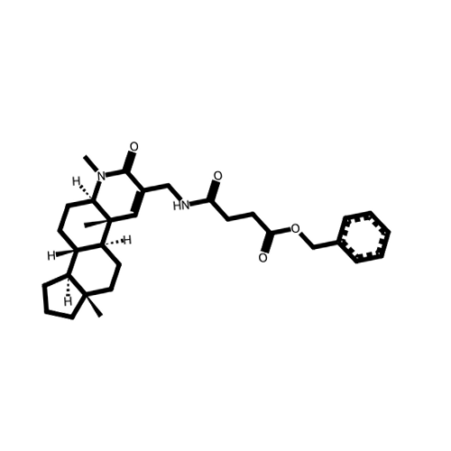 CN1C(=O)C(CNC(=O)CCC(=O)OCc2ccccc2)=C[C@]2(C)[C@H]3CC[C@]4(C)CCC[C@H]4[C@@H]3CC[C@@H]12